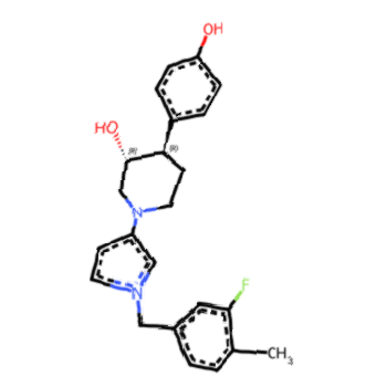 Cc1ccc(Cn2ccc(N3CC[C@H](c4ccc(O)cc4)[C@@H](O)C3)c2)cc1F